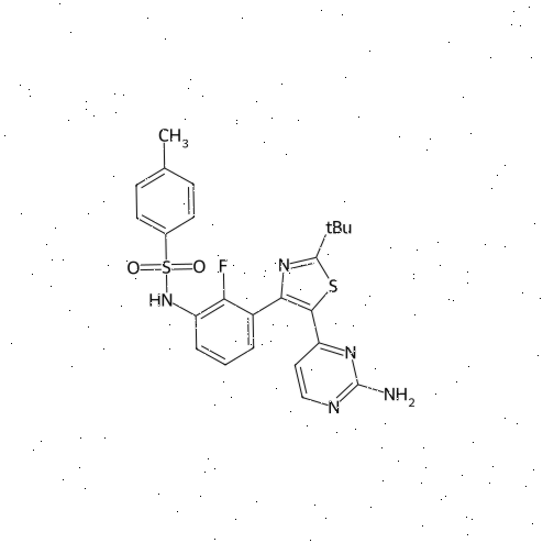 Cc1ccc(S(=O)(=O)Nc2cccc(-c3nc(C(C)(C)C)sc3-c3ccnc(N)n3)c2F)cc1